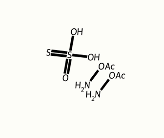 CC(=O)ON.CC(=O)ON.O=S(O)(O)=S